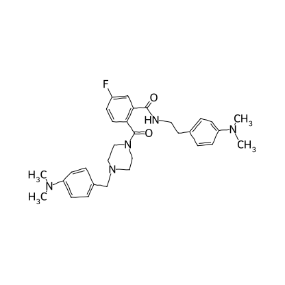 CN(C)c1ccc(CCNC(=O)c2cc(F)ccc2C(=O)N2CCN(Cc3ccc(N(C)C)cc3)CC2)cc1